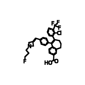 O=C(O)c1ccc2c(c1)CCCC(c1cccc(C(F)(F)F)c1Cl)=C2c1ccc(C=C2CN(CCCF)C2)cc1